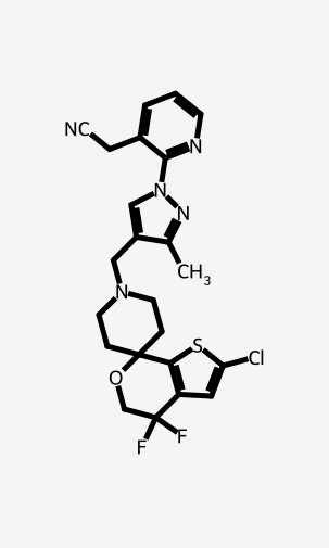 Cc1nn(-c2ncccc2CC#N)cc1CN1CCC2(CC1)OCC(F)(F)c1cc(Cl)sc12